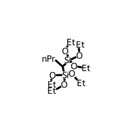 CCCC([Si](OCC)(OCC)OCC)[Si](OCC)(OCC)OCC